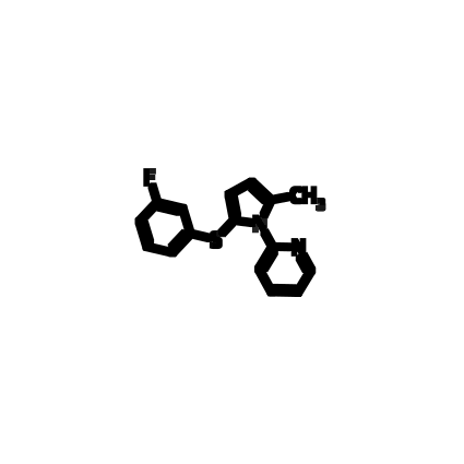 Cc1ccc(Sc2cccc(F)c2)n1-c1ccccn1